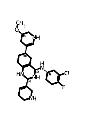 CO[C@H]1CNC=C([C@@H]2CCC3=C(C2)[C@@H](N[C@H]2CCC(F)=C(Cl)C2)N[C@@H](C2=CCCNC2)N3)C1